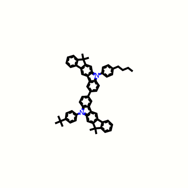 CCCCc1ccc(-n2c3ccc(-c4ccc5c(c4)c4cc6c(cc4n5-c4ccc(C(C)(C)C)cc4)C(C)(C)c4ccccc4-6)cc3c3cc4c(cc32)C(C)(C)c2ccccc2-4)cc1